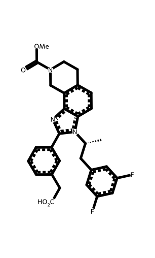 COC(=O)N1CCc2ccc3c(nc(-c4cccc(CC(=O)O)c4)n3[C@H](C)Cc3cc(F)cc(F)c3)c2C1